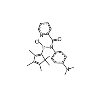 CC1=C(C)C(C)(C)[C]([Ir]([Cl])[N](C(=O)c2ccccn2)c2ccc(N(C)C)cc2)=C1C